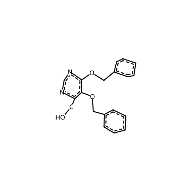 OCc1ncnc(OCc2ccccc2)c1OCc1ccccc1